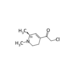 C[C@H]1C=C(C(=O)CCl)CCN1C